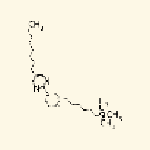 CCCCCCCCc1cnc(-c2cc[c]c(CCCCCC[Si](C)(C)C)c2)nc1